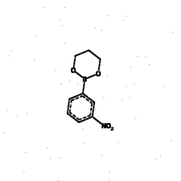 O=[N+]([O-])c1cccc(B2OCCCO2)c1